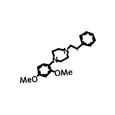 COc1ccc(N2CCN(C[CH]c3ccccc3)CC2)c(OC)c1